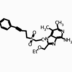 CCOCc1nc2c(N)nc(C)c(C)c2n1CCS(=O)(=O)CCC#Cc1ccccc1